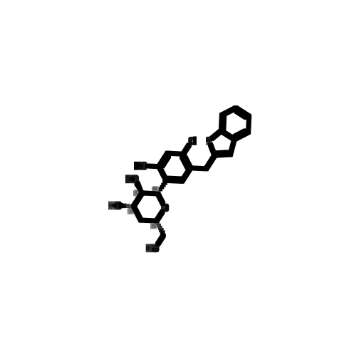 OC[C@@H]1C[C@H](O)[C@@H](O)[C@H](c2cc(Cc3cc4ccccc4s3)c(Cl)cc2O)O1